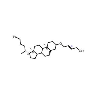 CC(C)CCCC(C)[C@H]1CCC2C3CC=C4CC(OC/C=C/CO)CC[C@]4(C)C3CC[C@@]21C